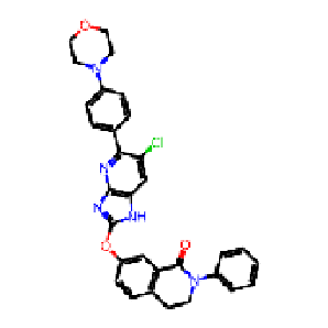 O=C1c2cc(Oc3nc4nc(-c5ccc(N6CCOCC6)cc5)c(Cl)cc4[nH]3)ccc2CCN1c1ccccc1